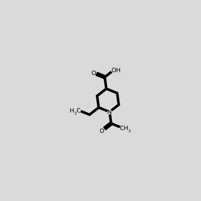 CCC1CC(C(=O)O)CCN1C(C)=O